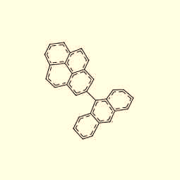 [c]1c2ccccc2c(-c2cc3ccc4cccc5ccc(c2)c3c45)c2ccccc12